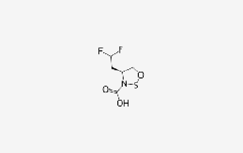 O=C(O)N1SOC[C@@H]1CC(F)F